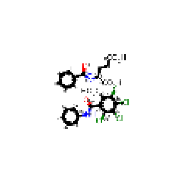 O=C(O)CC[C@H](NC(=O)c1ccccc1)C(=O)O.O=C(O)c1c(Cl)c(Cl)c(Cl)c(Cl)c1C(=O)Nc1ccccc1